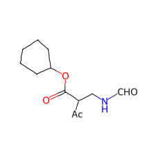 CC(=O)C(CNC=O)C(=O)OC1CCCCC1